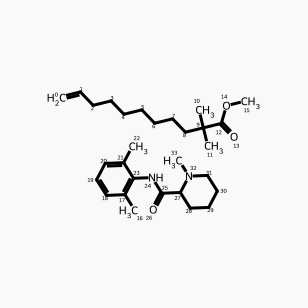 C=CCCCCCCCC(C)(C)C(=O)OC.Cc1cccc(C)c1NC(=O)C1CCCCN1C